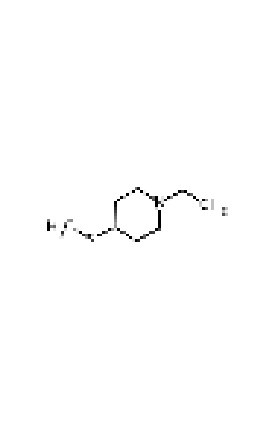 CCN1CCC(SC)CC1